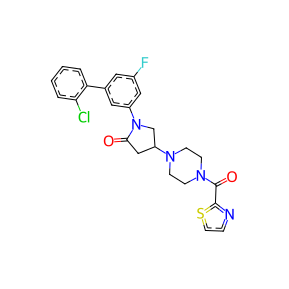 O=C(c1nccs1)N1CCN(C2CC(=O)N(c3cc(F)cc(-c4ccccc4Cl)c3)C2)CC1